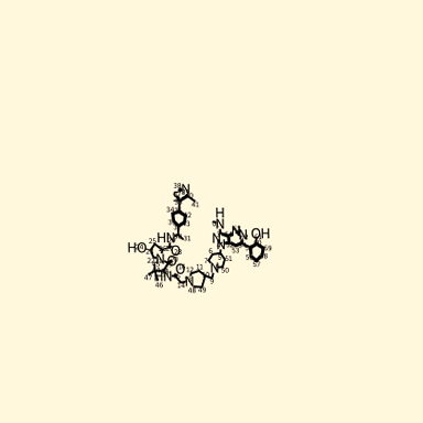 CNc1nn(C2CCN(CC3CCN(CC(=O)NC(C(=O)N4C[C@H](O)C[C@H]4C(=O)NC(C)c4ccc(-c5scnc5C)cc4)C(C)(C)C)CC3)CC2)c2cc(-c3ccccc3O)nnc12